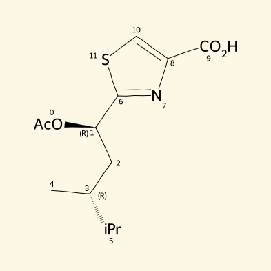 CC(=O)O[C@H](C[C@@H](C)C(C)C)c1nc(C(=O)O)cs1